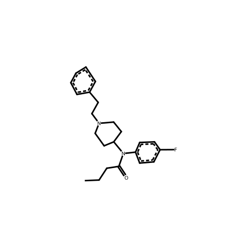 CCCC(=O)N(c1ccc(F)cc1)C1CCN(CCc2ccccc2)CC1